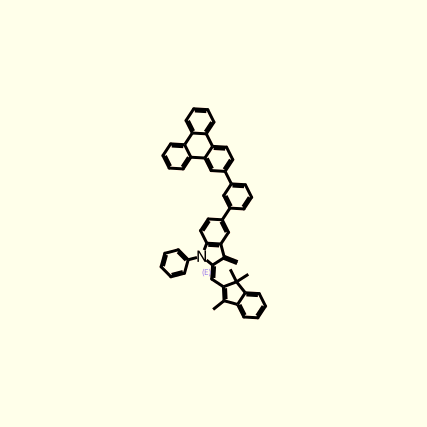 C=c1/c(=C\C2=C(C)c3ccccc3C2(C)C)n(-c2ccccc2)c2ccc(-c3cccc(-c4ccc5c6ccccc6c6ccccc6c5c4)c3)cc12